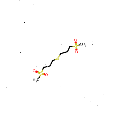 CS(=O)(=O)CCCSCCCS(C)(=O)=O